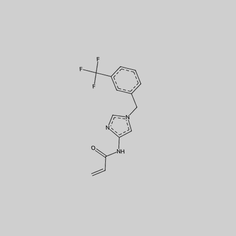 C=CC(=O)Nc1cn(Cc2cccc(C(F)(F)F)c2)cn1